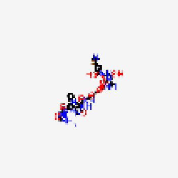 Cc1ncsc1-c1ccc([C@H](CO)NC(=O)[C@@H]2C[C@@H](O)CN2C(=O)[C@@H](NC(=O)COCCCOCCNC(=O)c2[nH]c3c(=O)n(C)cc4c3c2CN(c2ccccc2)c2ccc(NC(=O)[C@H](C)NC(=O)[C@H](C)N)cc2-4)C(C)(C)C)cc1